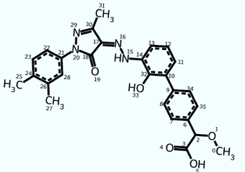 COC(C(=O)O)c1ccc(-c2cccc(NN=C3C(=O)N(c4ccc(C)c(C)c4)N=C3C)c2O)cc1